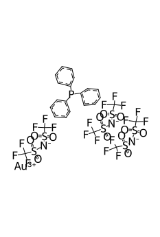 O=S(=O)([N-]S(=O)(=O)C(F)(F)F)C(F)(F)F.O=S(=O)([N-]S(=O)(=O)C(F)(F)F)C(F)(F)F.O=S(=O)([N-]S(=O)(=O)C(F)(F)F)C(F)(F)F.[Au+3].c1ccc(P(c2ccccc2)c2ccccc2)cc1